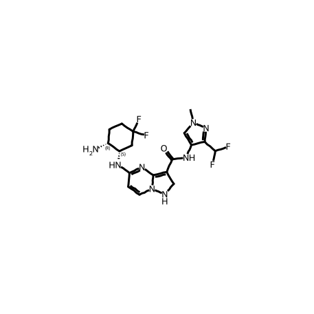 Cn1cc(NC(=O)C2=C3N=C(N[C@H]4CC(F)(F)CC[C@H]4N)C=CN3NC2)c(C(F)F)n1